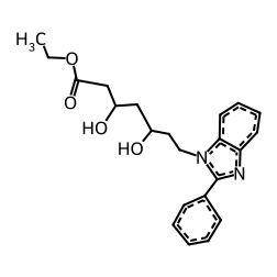 CCOC(=O)CC(O)CC(O)CCn1c(-c2ccccc2)nc2ccccc21